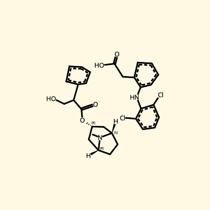 CN1[C@@H]2CC[C@H]1C[C@@H](OC(=O)C(CO)c1ccccc1)C2.O=C(O)Cc1ccccc1Nc1c(Cl)cccc1Cl